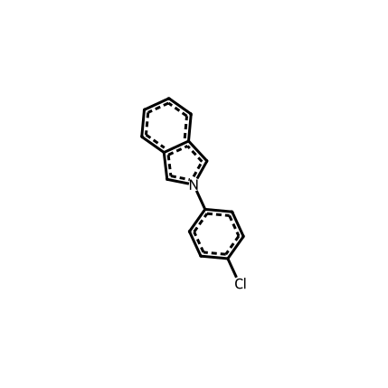 Clc1ccc(-n2cc3ccccc3c2)cc1